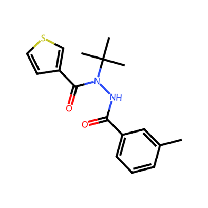 Cc1cccc(C(=O)NN(C(=O)c2ccsc2)C(C)(C)C)c1